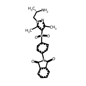 Cc1nn(C[C@H](C)N)c(C)c1S(=O)(=O)c1ccc(N2C(=O)c3ccccc3C2=O)cc1